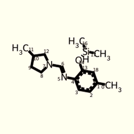 Cc1ccc(N=CN2CCC(C)C2)c(O[SiH](C)C)c1